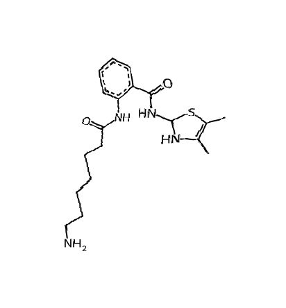 CC1=C(C)SC(NC(=O)c2ccccc2NC(=O)CCCCCCN)N1